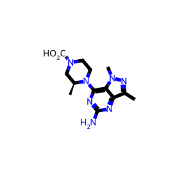 Cc1nn(C)c2c(N3CCN(C(=O)O)C[C@@H]3C)nc(N)nc12